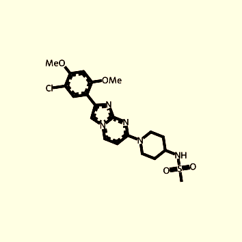 COc1cc(OC)c(-c2cn3ccc(N4CCC(NS(C)(=O)=O)CC4)nc3n2)cc1Cl